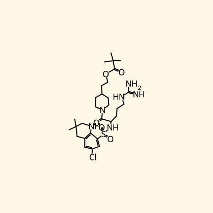 CC1(C)CNc2c(cc(Cl)cc2S(=O)(=O)NC(CCCNC(=N)N)C(=O)N2CCC(CCOC(=O)C(C)(C)C)CC2)C1